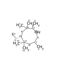 CC1CBC(C)C(C)(C)C[C@@H](CI)C(C)(C)C1